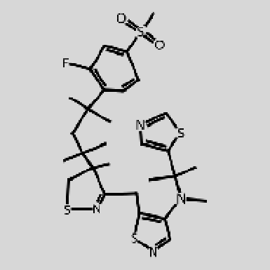 CN(c1cnsc1CC1=NSCC1(C)C(C)(C)CC(C)(C)c1ccc(S(C)(=O)=O)cc1F)C(C)(C)c1cncs1